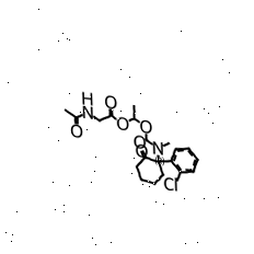 CC(=O)NCC(=O)OC(C)OC(=O)N(C)[C@@]1(c2ccccc2Cl)CCCCC1=O